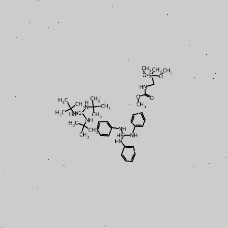 CC(C)(C)N[SiH](NC(C)(C)C)NC(C)(C)C.COC(=O)NC[Si](C)(OC)OC.c1ccc(N[SiH](Nc2ccccc2)Nc2ccccc2)cc1